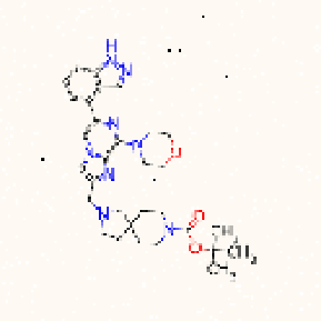 CC(C)(C)OC(=O)N1CCC2(CCN(Cc3cn4cc(-c5cccc6[nH]ncc56)nc(N5CCOCC5)c4n3)C2)CC1